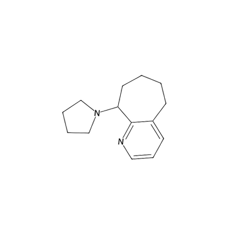 c1cnc2c(c1)CCCCC2N1CCCC1